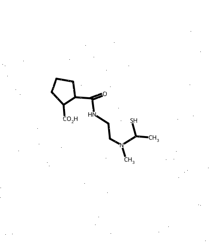 CC(S)N(C)CCNC(=O)C1CCCC1C(=O)O